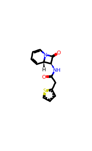 O=C(Cc1cccs1)N[C@@H]1C(=O)N2C=CC=C[C@@H]12